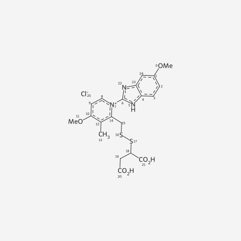 COc1ccc2[nH]c(-[n+]3ccc(OC)c(C)c3CSSC(CC(=O)O)C(=O)O)nc2c1.[Cl-]